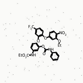 CCOC(=O)Nc1cccc(OC(=O)Nc2ccccc2)c1.CCOc1cc(Oc2ccc(C(F)(F)F)cc2Cl)ccc1[N+](=O)[O-]